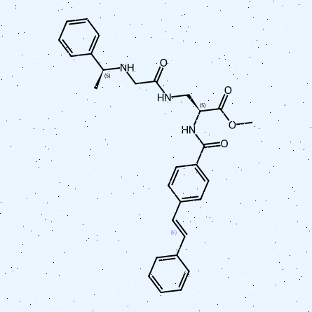 COC(=O)[C@H](CNC(=O)CN[C@@H](C)c1ccccc1)NC(=O)c1ccc(/C=C/c2ccccc2)cc1